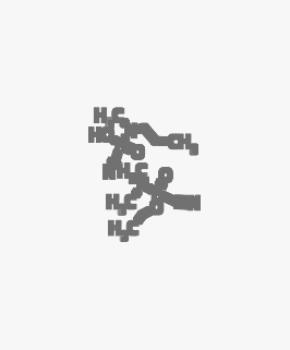 CCCN(C)P(=O)(O)C#N.CCOP(=O)(C#N)N(C)C